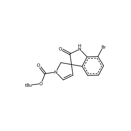 CC(C)(C)OC(=O)N1C=CC2(C1)C(=O)Nc1c(Br)cccc12